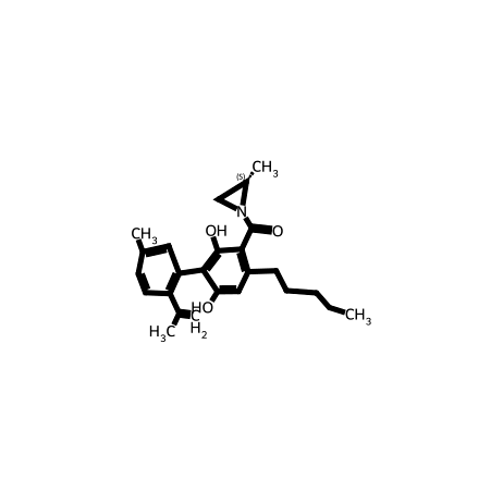 C=C(C)c1ccc(C)cc1-c1c(O)cc(CCCCC)c(C(=O)N2C[C@@H]2C)c1O